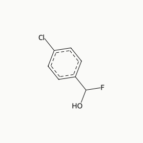 OC(F)c1ccc(Cl)cc1